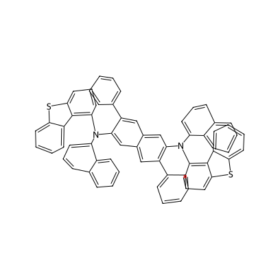 c1ccc(-c2cc3cc(N(c4cccc5ccccc45)c4cccc5sc6ccccc6c45)c(-c4ccccc4)cc3cc2N(c2cccc3ccccc23)c2cccc3sc4ccccc4c23)cc1